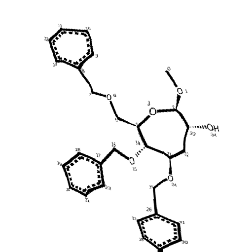 CO[C@@H]1O[C@H](COCc2ccccc2)[C@@H](OCc2ccccc2)[C@H](OCc2ccccc2)C[C@H]1O